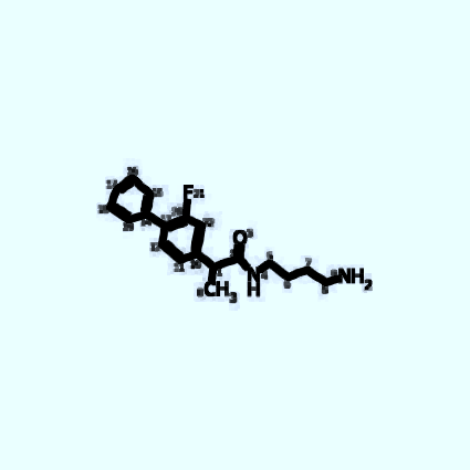 CC(C(=O)NCCCCN)c1ccc(-c2ccccc2)c(F)c1